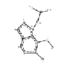 COc1c(Br)ccc2cnn(CC(F)F)c12